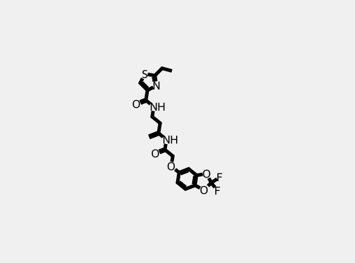 C=C(CCNC(=O)c1csc(CC)n1)NC(=O)COc1ccc2c(c1)OC(F)(F)O2